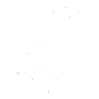 CC(Oc1cnccc1-c1nc2cc(C(F)(F)F)ccc2o1)C(F)(F)F